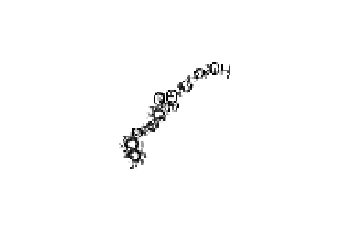 O=C(OCCOCCOCCO)C(=O)c1ccc(OCCOc2ccc3ccccc3c2)cc1